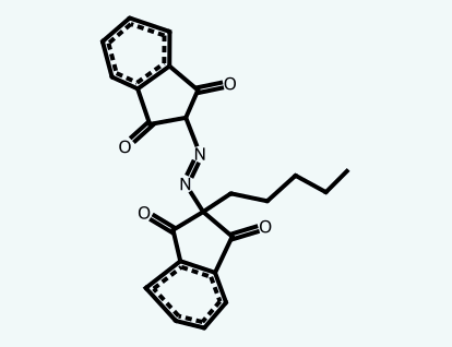 CCCCCC1(N=NC2C(=O)c3ccccc3C2=O)C(=O)c2ccccc2C1=O